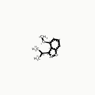 COc1cccc2onc(C(C)C)c12